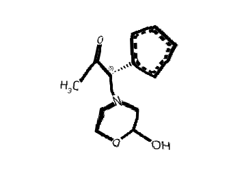 CC(=O)[C@H](c1ccccc1)N1CCOC(O)C1